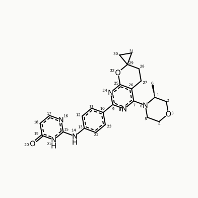 C[C@H]1COCCN1c1nc(-c2ccc(Nc3nccc(=O)[nH]3)cc2)nc2c1CCC1(CC1)O2